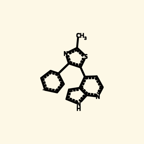 Cc1nc(-c2cc[c]cc2)c(-c2ccnc3[nH]ccc23)s1